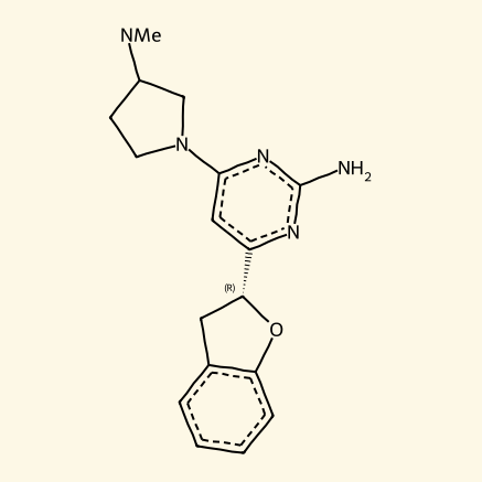 CNC1CCN(c2cc([C@H]3Cc4ccccc4O3)nc(N)n2)C1